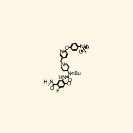 CCCCN(C(=O)Nc1cc(C(N)=O)c(F)cc1Cl)C1CCN(Cc2ccc(Oc3ccc(NS(C)(=O)=O)cc3)nc2)CC1